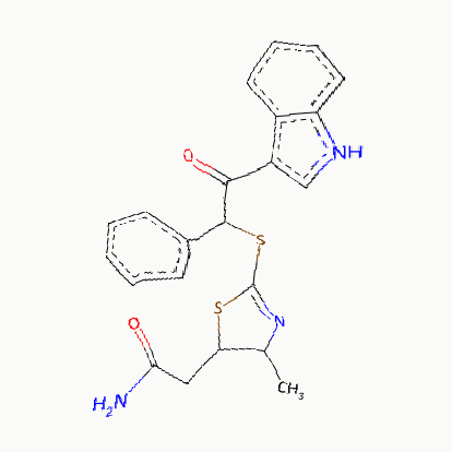 CC1N=C(SC(C(=O)c2c[nH]c3ccccc23)c2ccccc2)SC1CC(N)=O